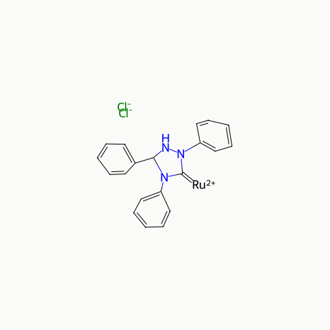 [Cl-].[Cl-].[Ru+2]=[C]1N(c2ccccc2)NC(c2ccccc2)N1c1ccccc1